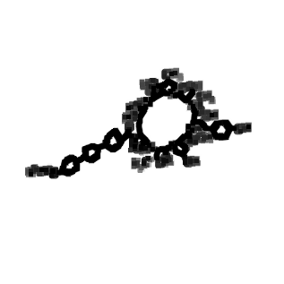 CCCCCOc1ccc(-c2ccc(-c3ccc(C(=O)N[C@H]4C[C@@H](O)[C@@H](O)NC(=O)[C@@H]5[C@@H](O)[C@@H](C)CN5C(=O)[C@H]([C@@H](C)O)NC(=O)C([C@H](O)[C@@H](O)c5ccc(O)cc5)NC(=O)[C@@H]5C[C@@H](O)CN5C(=O)[C@H]([C@@H](C)O)NC4=O)cc3)cc2)cc1